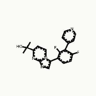 CC(C)(O)c1ccn2c(-c3ccc(F)c(-c4ccncc4)c3F)cnc2n1